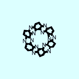 C1=CC2N=c3ccc4nc5ccc6nc7ccc8nc9ccc%10nc%11ccc%12nc1c1nc%12c%11nc%10c9nc8c7nc6c5nc4c3=NC12